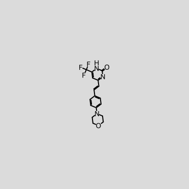 O=c1nc(C=Cc2ccc(N3CCOCC3)cc2)cc(C(F)(F)F)[nH]1